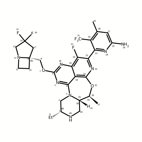 CC[C@@H]1CN2c3nc(OC[C@]45CCN4CC(F)(F)C5)nc4c(F)c(-c5nc(N)cc(C)c5C(F)(F)F)nc(c34)O[C@@H](C)[C@@H]2CN1